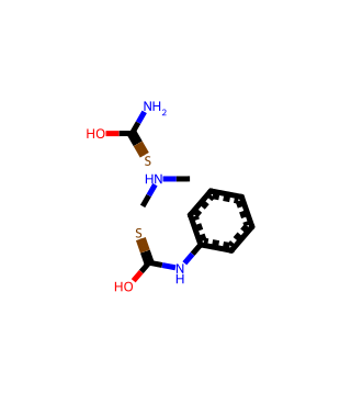 CNC.NC(O)=S.OC(=S)Nc1ccccc1